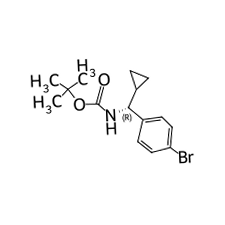 CC(C)(C)OC(=O)N[C@@H](c1ccc(Br)cc1)C1CC1